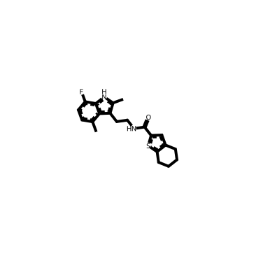 Cc1[nH]c2c(F)ccc(C)c2c1CCNC(=O)c1cc2c(s1)CCCC2